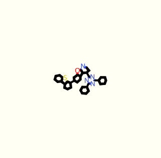 c1ccc(-c2nc(-c3ccccc3)nc(-c3ccnc4oc5cc(-c6cccc7c6sc6ccccc67)ccc5c34)n2)cc1